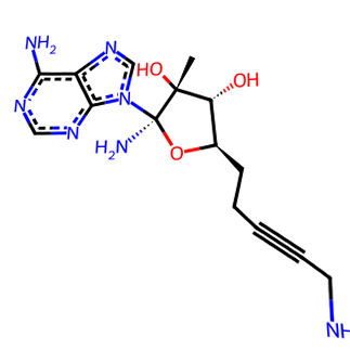 C[C@@]1(O)[C@H](O)[C@@H](CCC#CCN)O[C@@]1(N)n1cnc2c(N)ncnc21